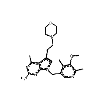 COc1c(C)ncc(Cn2cc(CCN3CCOCC3)c3c(C)nc(N)nc32)c1C